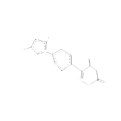 Cc1cc(C=O)cn1-c1ccc(C2=NNC(=O)CC2C)cc1